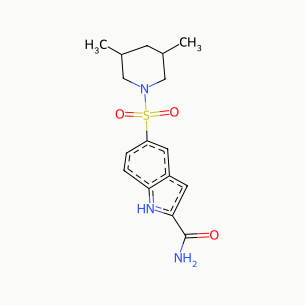 CC1CC(C)CN(S(=O)(=O)c2ccc3[nH]c(C(N)=O)cc3c2)C1